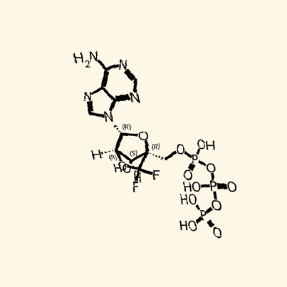 Nc1ncnc2c1ncn2[C@@H]1O[C@]2(COP(=O)(O)OP(=O)(O)OP(=O)(O)O)[C@@H](O)[C@H]1OC2(F)F